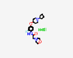 Cl.Cl.O=C(CN1CCOCC1)Nc1ccc(OC2CCN(C3CCCC3)CC2)cc1F